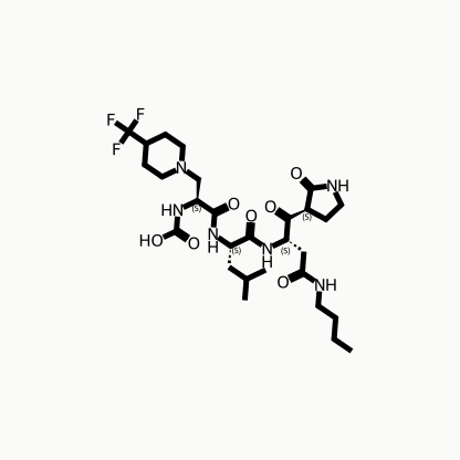 CCCCNC(=O)C[C@H](NC(=O)[C@H](CC(C)C)NC(=O)[C@H](CN1CCC(C(F)(F)F)CC1)NC(=O)O)C(=O)[C@@H]1CCNC1=O